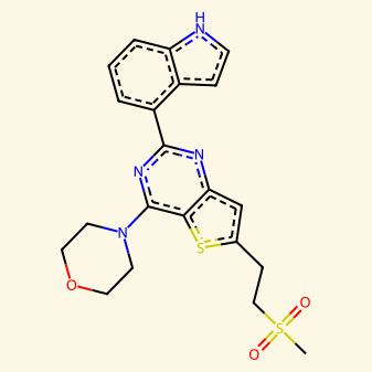 CS(=O)(=O)CCc1cc2nc(-c3cccc4[nH]ccc34)nc(N3CCOCC3)c2s1